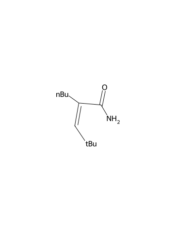 CCCCC(=CC(C)(C)C)C(N)=O